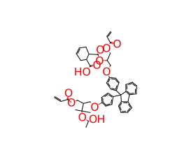 C=CC(=O)OCC(COc1ccc(C2(c3ccc(OCC(COC(=O)C=C)C(C)(C)OC(C)O)cc3)c3ccccc3-c3ccccc32)cc1)OC(=O)C1CC=CCC1C(=O)O